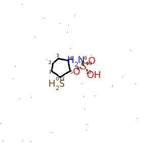 C1CCCCC1.NS(=O)(=O)O.S